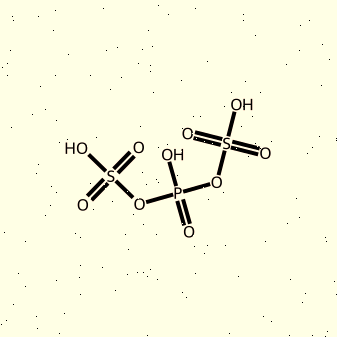 O=P(O)(OS(=O)(=O)O)OS(=O)(=O)O